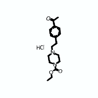 CCOC(=O)N1CCN(CCc2ccc(C(C)=O)cc2)CC1.Cl